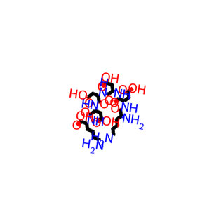 NCCCCC(N)C(=O)NC(CC(=O)O)C(=O)NC(CC(=O)O)C(=O)NC(CC(=O)O)C(=O)NC(CC(=O)O)C(=O)NC(CCCCN)C(=O)O